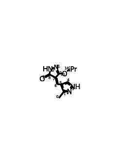 Cc1n[nH]cc1/C=C1/C(=O)NN=C1OC(C)C